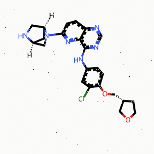 Clc1cc(Nc2ncnc3ccc(N4C[C@@H]5C[C@H]4CN5)nc23)ccc1OC[C@@H]1CCOC1